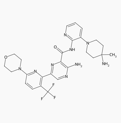 CC1(N)CCN(c2cccnc2NC(=O)c2nc(-c3nc(N4CCOCC4)ccc3C(F)(F)F)cnc2N)CC1